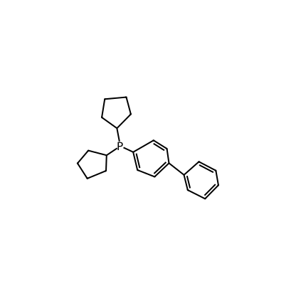 c1ccc(-c2ccc(P(C3CCCC3)C3CCCC3)cc2)cc1